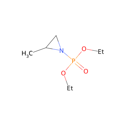 CCOP(=O)(OCC)N1CC1C